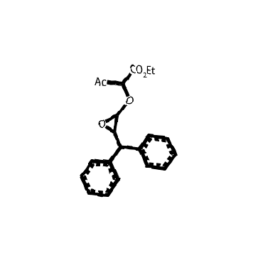 CCOC(=O)C(OC1OC1C(c1ccccc1)c1ccccc1)C(C)=O